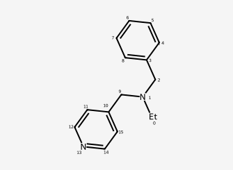 CCN(Cc1[c]cccc1)Cc1ccncc1